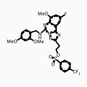 COc1ccc(CNc2nc3c(OC)cc(F)cc3c3nc(CCOS(=O)(=O)c4ccc(C(F)(F)F)cc4)nn23)c(OC)c1